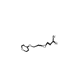 CC(=O)C(CCOCCOC1CCOCC1)C(C)=O